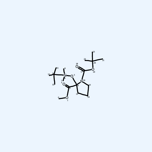 COC(=O)C1(O[Si](C)(C)C(C)(C)C)CCCN1C(=O)OC(C)(C)C